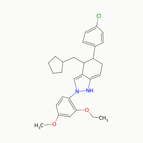 CCOc1cc(OC)ccc1N1C=C2C(=CCC(c3ccc(Cl)cc3)C2CC2CCCC2)N1